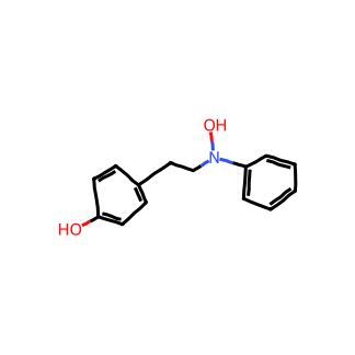 Oc1ccc(CCN(O)c2ccccc2)cc1